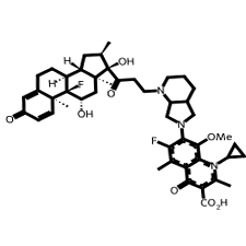 COc1c(N2CC3CCCN(CCC(=O)[C@@]4(O)[C@H](C)C[C@H]5[C@@H]6CCC7=CC(=O)C=C[C@]7(C)[C@@]6(F)[C@@H](O)C[C@@]54C)C3C2)c(F)c(C)c2c(=O)c(C(=O)O)c(C)n(C3CC3)c12